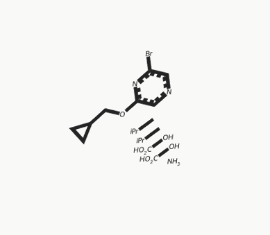 Brc1cncc(OCC2CC2)n1.CC(C)C.CC(C)C.N.O=C(O)O.O=C(O)O